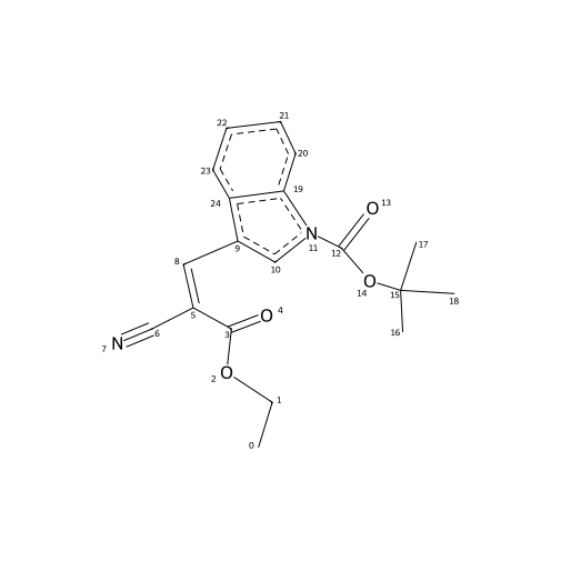 CCOC(=O)C(C#N)=Cc1cn(C(=O)OC(C)(C)C)c2ccccc12